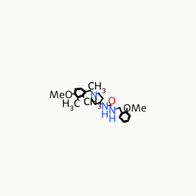 COc1ccccc1CNC(=O)NC1CCN(C(C)c2ccc(OC)c(C)c2C)CC1